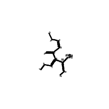 C=C(/C=C\CC)C(=C\CC)/C(S)=C\C